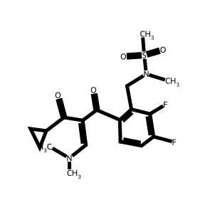 CN(C)C=C(C(=O)c1ccc(F)c(F)c1CN(C)S(C)(=O)=O)C(=O)C1CC1